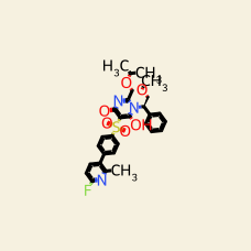 COC[C@@H](c1ccccc1)n1c(COC(C)C)nc(=O)c(S(=O)(=O)c2ccc(-c3ccc(F)nc3C)cc2)c1O